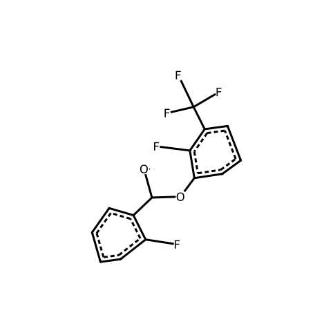 [O]C(Oc1cccc(C(F)(F)F)c1F)c1ccccc1F